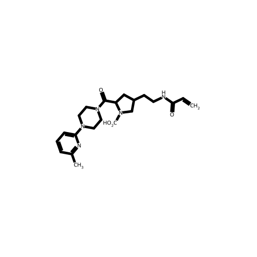 C=CC(=O)NCCC1CC(C(=O)N2CCN(c3cccc(C)n3)CC2)N(C(=O)O)C1